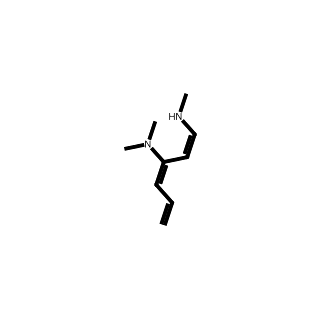 C=C/C=C(\C=C/NC)N(C)C